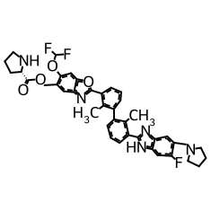 Cc1c(-c2nc3cc(CN4CCCC4)c(F)cc3[nH]2)cccc1-c1cccc(-c2nc3cc(COC(=O)[C@@H]4CCCN4)c(OC(F)F)cc3o2)c1C